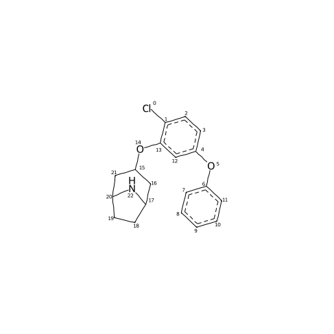 Clc1ccc(Oc2ccccc2)cc1OC1CC2CCC(C1)N2